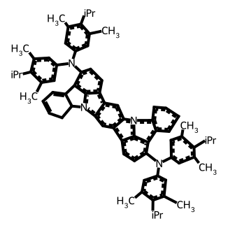 Cc1cc(N(c2cc(C)c(C(C)C)c(C)c2)c2ccc3c4cc5c(cc4n4c3c2C2=CC=CCC24)c2ccc(N(c3cc(C)c(C(C)C)c(C)c3)c3cc(C)c(C(C)C)c(C)c3)c3c4ccccc4n5c23)cc(C)c1C(C)C